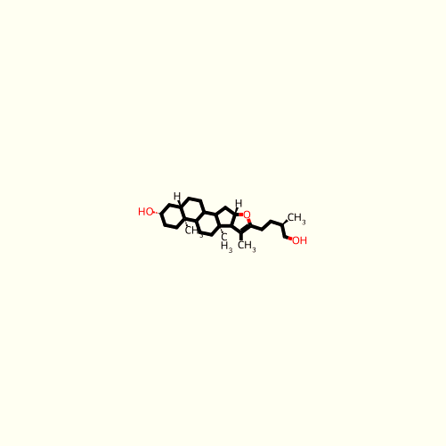 CC1=C(CC[C@@H](C)CO)O[C@H]2CC3C4CC[C@H]5C[C@@H](O)CC[C@]5(C)C4CC[C@]3(C)C12